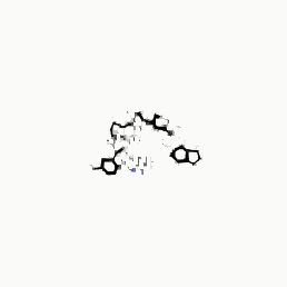 N/N=C\N(N)c1ccc(Cl)cc1C1=C[S+]([O-])N2C(=N1)CCC2c1ncc(-c2csc(C(=O)Oc3ccc4c(c3)CCC4)c2)[nH]1